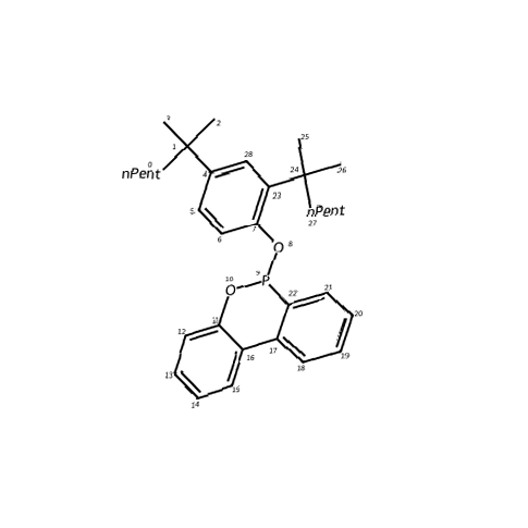 CCCCCC(C)(C)c1ccc(OP2Oc3ccccc3-c3ccccc32)c(C(C)(C)CCCCC)c1